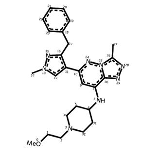 COCCN1CCC(Nc2cc(-c3cn(C)nc3Cc3ccccc3)nn3c(C)nnc23)CC1